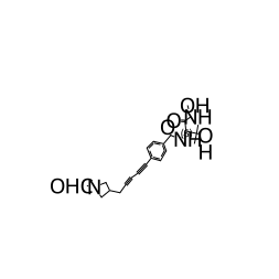 CC(C)(O)[C@H](NC(=O)c1ccc(C#CC#CCC2CN(C=O)C2)cc1)C(=O)NO